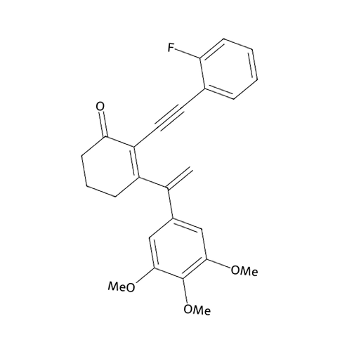 C=C(C1=C(C#Cc2ccccc2F)C(=O)CCC1)c1cc(OC)c(OC)c(OC)c1